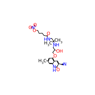 Cc1cc(OCC(O)CNC(C)(C)CNC(=O)CCCCO[N+](=O)[O-])c2cc(C#N)c(=O)[nH]c2c1